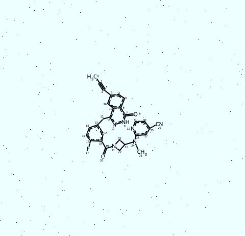 CC#Cc1ccc2c(=O)[nH]nc(Cc3ccc(F)c(C(=O)N4CC(N(C)c5cc(C#N)ccn5)C4)c3)c2c1